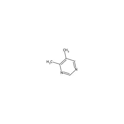 Cc1[c]ncnc1C